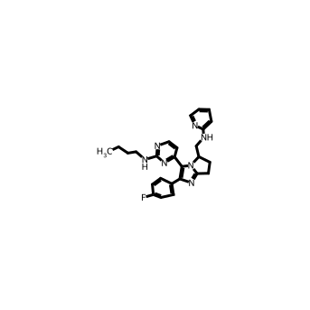 CCCCNc1nccc(-c2c(-c3ccc(F)cc3)nc3n2C(CNc2ccccn2)CC3)n1